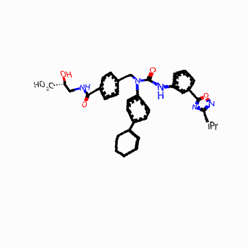 CC(C)c1noc(-c2cccc(NC(=O)N(Cc3ccc(C(=O)NC[C@@H](O)C(=O)O)cc3)c3ccc(C4CCCCC4)cc3)c2)n1